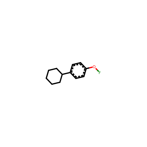 FOc1ccc(C2CCCCC2)cc1